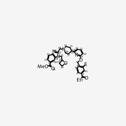 CCC(=O)c1ccc(COc2cccc(C3CCN(Cc4nc5ccc(C(=O)OC)cc5n4CC4CCO4)CC3)n2)c(F)c1